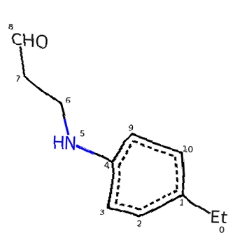 [CH2]Cc1ccc(NCCC=O)cc1